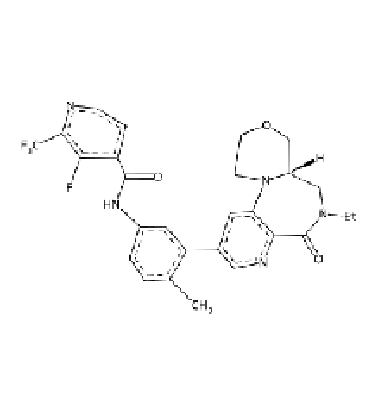 CCN1C[C@H]2COCCN2c2cc(-c3cc(NC(=O)c4ccnc(C(F)(F)F)c4F)ccc3C)cnc2C1=O